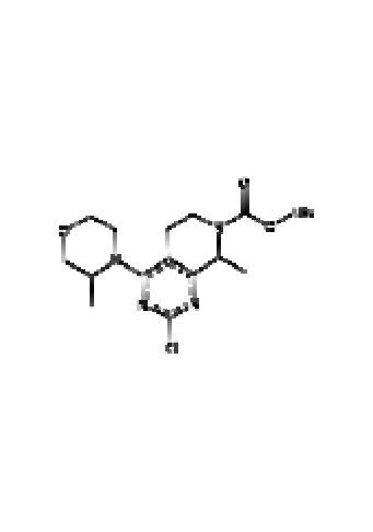 CC1c2nc(Cl)nc(N3CCOCC3C)c2CCN1C(=O)OC(C)(C)C